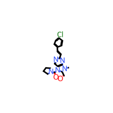 CN1c2nc(/C=C/c3ccc(Cl)cc3)ncc2N(C(=O)N2CCCC2)C1C=O